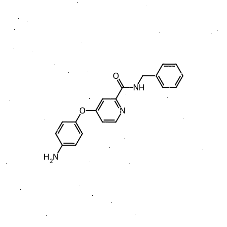 Nc1ccc(Oc2ccnc(C(=O)NCc3ccccc3)c2)cc1